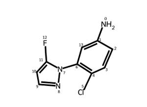 Nc1ccc(Cl)c(-n2nccc2F)c1